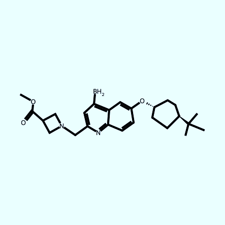 Bc1cc(CN2CC(C(=O)OC)C2)nc2ccc(O[C@H]3CC[C@H](C(C)(C)C)CC3)cc12